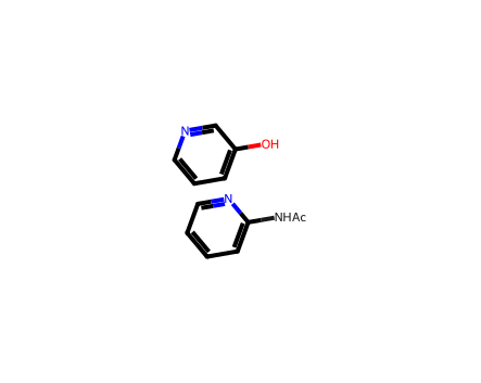 CC(=O)Nc1ccccn1.Oc1cccnc1